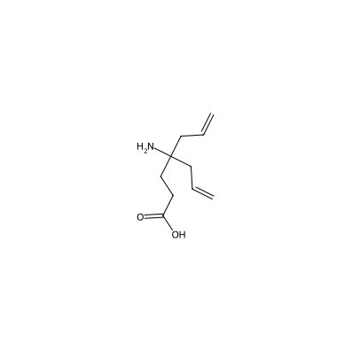 C=CCC(N)(CC=C)CCC(=O)O